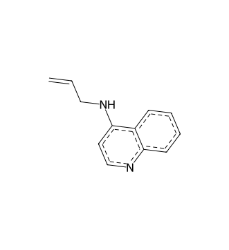 C=CCNc1ccnc2ccccc12